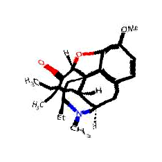 CC[C@@H]1[C@H]2[C@H]3Cc4ccc(OC)c5c4[C@@]2(CCN3C)[C@@H](O5)C(=O)C1(C)C